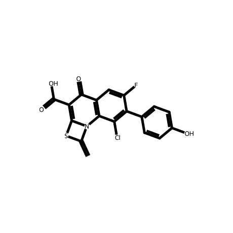 C=c1sc2c(C(=O)O)c(=O)c3cc(F)c(-c4ccc(O)cc4)c(Cl)c3n12